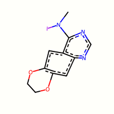 CN(I)c1ncnc2cc3c(cc12)OCCO3